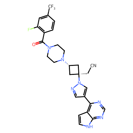 N#CC[C@]1(n2cc(-c3ncnc4[nH]ccc34)cn2)C[C@H](N2CCN(C(=O)c3ccc(C(F)(F)F)cc3F)CC2)C1